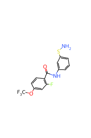 NSc1cccc(NC(=O)c2ccc(OC(F)(F)F)cc2F)c1